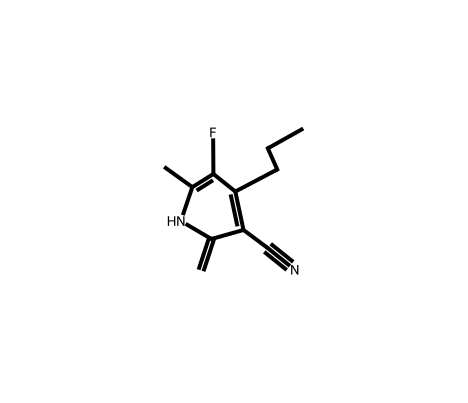 C=C1NC(C)=C(F)C(CCC)=C1C#N